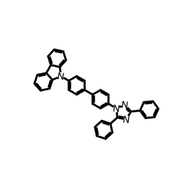 c1ccc(-c2nc(-c3ccccc3)n(-c3ccc(-c4ccc(-n5c6ccccc6c6ccccc65)cc4)cc3)n2)cc1